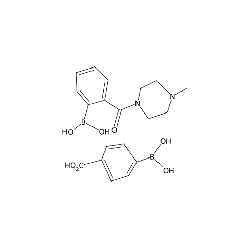 CN1CCN(C(=O)c2ccccc2B(O)O)CC1.O=C(O)c1ccc(B(O)O)cc1